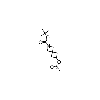 CS(=O)OC1CC2(C1)CN(C(=O)OC(C)(C)C)C2